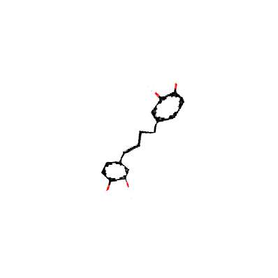 Oc1ccc(CCCCc2ccc(O)c(O)c2)cc1O